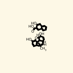 CN1CC[C@]23c4c5ccc(O)c4O[C@H]2[C@@H](O)C=C[C@H]3[C@H]1C5.O=C(O)c1cc2ccccc2cc1O